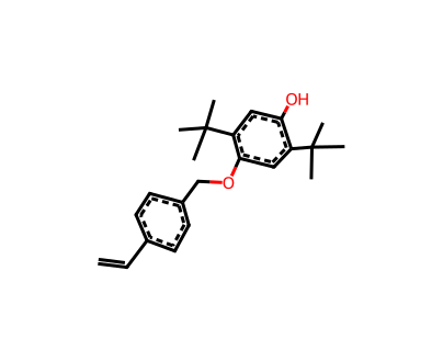 C=Cc1ccc(COc2cc(C(C)(C)C)c(O)cc2C(C)(C)C)cc1